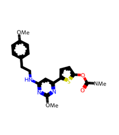 CNC(=O)Oc1ccc(-c2cc(NCCc3ccc(OC)cc3)nc(OC)n2)s1